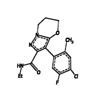 CCNC(=O)c1nn2c(c1-c1cc(F)c(Cl)cc1C)OCCC2